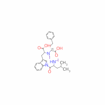 CC(C)CC(NI)C(=O)n1cc(CC(C(=O)O)N(I)[C@H](CCc2ccccc2)C(=O)O)c2ccccc21